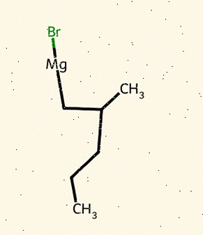 CCCC(C)[CH2][Mg][Br]